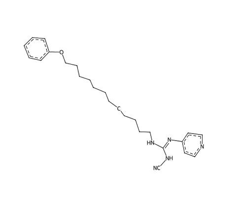 N#CN/C(=N\c1ccncc1)NCCCCCCCCCCCCOc1ccccc1